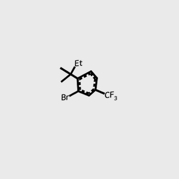 CCC(C)(C)c1ccc(C(F)(F)F)cc1Br